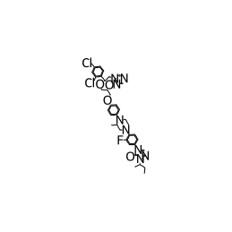 CCC(C)n1ncn(-c2ccc(N3CCN(c4ccc(OCC5COC(Cn6cncn6)(c6ccc(Cl)cc6Cl)O5)cc4)C(C)C3)c(F)c2)c1=O